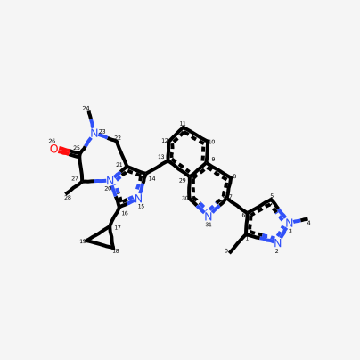 Cc1nn(C)cc1-c1cc2cccc(-c3nc(C4CC4)n4c3CN(C)C(=O)C4C)c2cn1